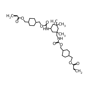 C=CC(=O)OCC1CCC(COC(=O)NCC2(C)CC(NC(=O)OCC3CCC(COC(=O)C=C)CC3)CC(C)(C)C2)CC1